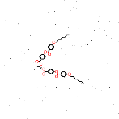 CCCCCCCOc1ccc(C(=O)Oc2ccc(C(=O)OCC(C)OC(=O)c3ccc(OC(=O)c4ccc(OCCCCCCC)cc4)cc3)cc2)cc1